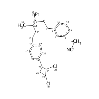 CC#N.CCCN(CCc1ccccc1)C(C)CCc1ccc(C2CC(Cl)C2Cl)cc1